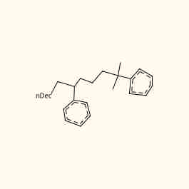 CCCCCCCCCCC[C](CCCC(C)(C)c1ccccc1)c1ccccc1